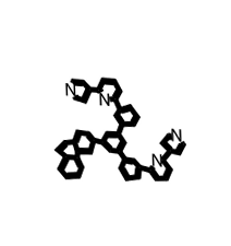 c1cc(-c2cc(-c3cccc(-c4cccc(-c5ccncc5)n4)c3)cc(-c3ccc4ccc5ccccc5c4c3)c2)cc(-c2cccc(-c3ccncc3)n2)c1